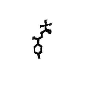 O=C(OCC(F)=C1CCNCC1)C(F)(F)F